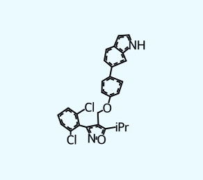 CC(C)c1onc(-c2c(Cl)cccc2Cl)c1COc1ccc(-c2ccc3cc[nH]c3c2)cc1